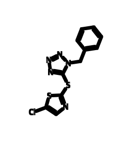 Clc1cnc(Sc2nnnn2Cc2ccccc2)s1